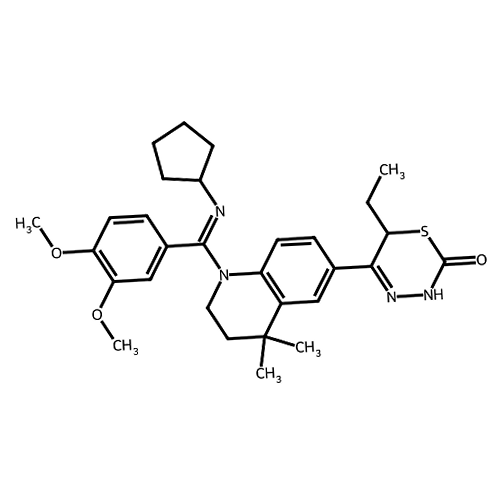 CCC1SC(=O)NN=C1c1ccc2c(c1)C(C)(C)CCN2C(=NC1CCCC1)c1ccc(OC)c(OC)c1